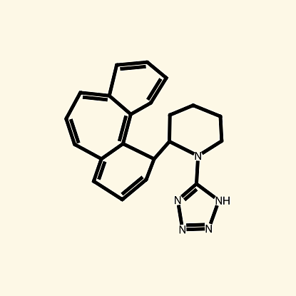 C1=CC2=CC=CC(C3CCCCN3c3nnn[nH]3)C2=c2ccccc2=C1